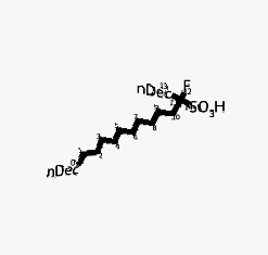 CCCCCCCCCCCCCCCCCCCCC(F)(CCCCCCCCCC)S(=O)(=O)O